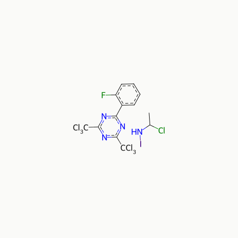 CC(Cl)NI.Fc1ccccc1-c1nc(C(Cl)(Cl)Cl)nc(C(Cl)(Cl)Cl)n1